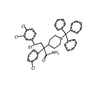 CCC(CC(C(N)=O)(c1cccc(Cl)c1)C1CCN(C(c2ccccc2)(c2ccccc2)c2ccccc2)CC1)c1ccc(Cl)c(Cl)c1